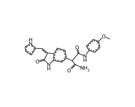 COc1ccc(NC(=O)C(C(N)=O)c2ccc3c(c2)NC(=O)/C3=C\c2ccc[nH]2)cc1